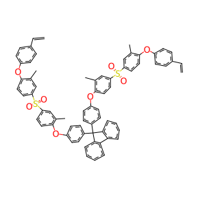 C=Cc1ccc(Oc2ccc(S(=O)(=O)c3ccc(Oc4ccc(C5(c6ccc(Oc7ccc(S(=O)(=O)c8ccc(Oc9ccc(C=C)cc9)c(C)c8)cc7C)cc6)c6ccccc6-c6ccccc65)cc4)c(C)c3)cc2C)cc1